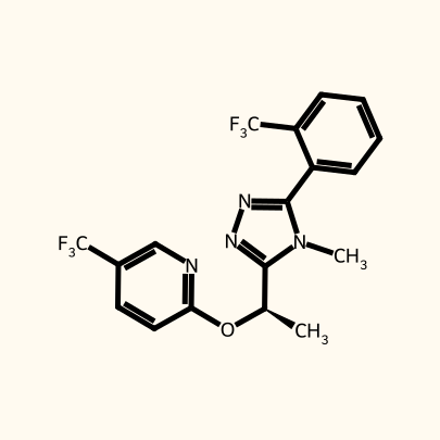 C[C@@H](Oc1ccc(C(F)(F)F)cn1)c1nnc(-c2ccccc2C(F)(F)F)n1C